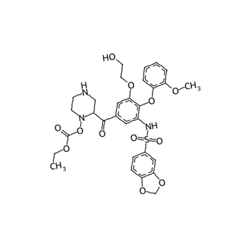 CCOC(=O)ON1CCNCC1C(=O)c1cc(NS(=O)(=O)c2ccc3c(c2)OCO3)c(Oc2ccccc2OC)c(OCCO)c1